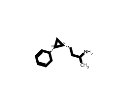 CC(N)CC[C@H]1C[C@H]1C1C=CC=CC1